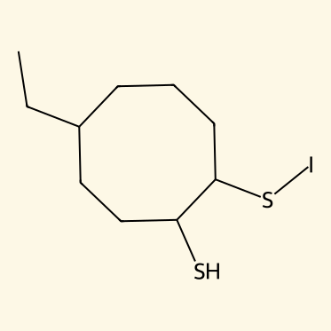 CCC1CCCC(SI)C(S)CC1